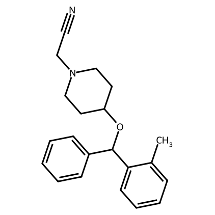 Cc1ccccc1C(OC1CCN(CC#N)CC1)c1ccccc1